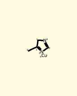 CC1=NC=NC1.[Cu]